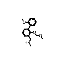 CNCc1cccc(-c2ccccc2OC)c1OCOC